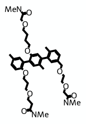 CNC(=O)CCOCCCOc1ccc(C)cc1-c1cc(C)c(-c2cc(COCCOCC(=O)NC)ccc2C)cc1OCCCCOCC(=O)NC